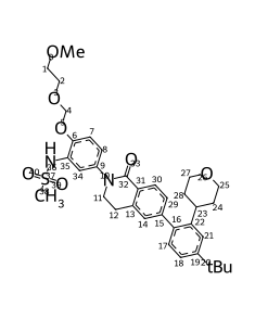 COCCOCOc1ccc(N2CCc3cc(-c4ccc(C(C)(C)C)cc4C4CCOCC4)ccc3C2=O)cc1NS(C)(=O)=O